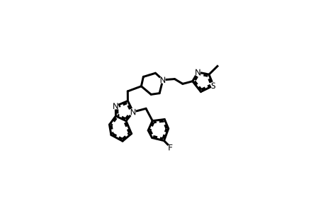 Cc1nc(CCN2CCC(Cc3nc4ccccc4n3Cc3ccc(F)cc3)CC2)cs1